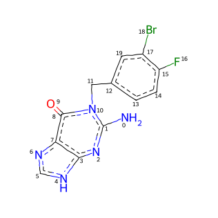 Nc1nc2[nH]cnc2c(=O)n1Cc1ccc(F)c(Br)c1